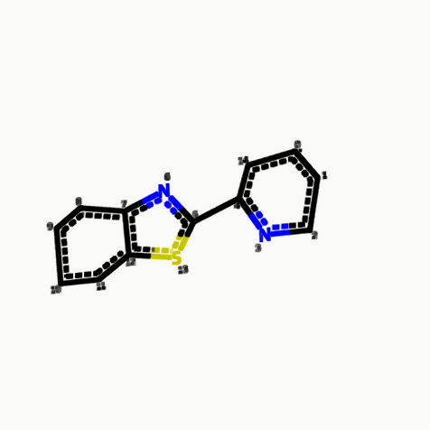 [c]1ccnc(-c2nc3ccccc3s2)c1